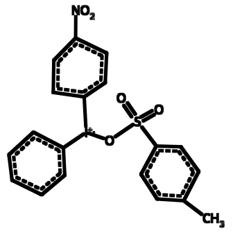 Cc1ccc(S(=O)(=O)O[I+](c2ccccc2)c2ccc([N+](=O)[O-])cc2)cc1